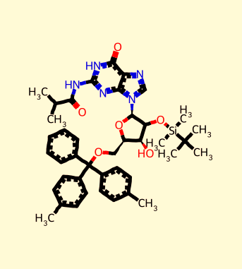 Cc1ccc(C(OC[C@H]2O[C@@H](n3cnc4c(=O)[nH]c(NC(=O)C(C)C)nc43)C(O[Si](C)(C)C(C)(C)C)[C@H]2O)(c2ccccc2)c2ccc(C)cc2)cc1